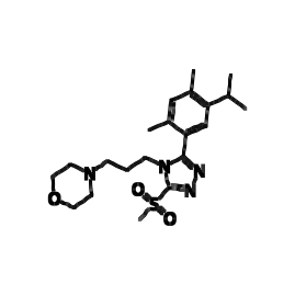 Cc1cc(C)c(C(C)C)cc1-c1nnc(S(C)(=O)=O)n1CCCN1CCOCC1